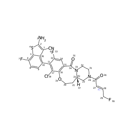 N#Cc1c(N)sc2c(F)ccc(-c3c(F)cc4c(c3Cl)OCC[C@H]3CN(C(=O)/C=C/CF)CCN3C4=O)c12